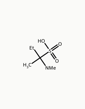 CCC(C)(NC)S(=O)(=O)O